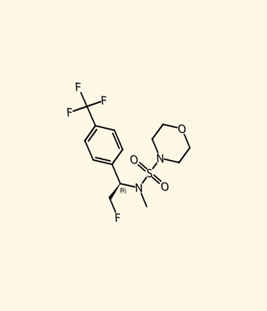 CN([C@@H](CF)c1ccc(C(F)(F)F)cc1)S(=O)(=O)N1CCOCC1